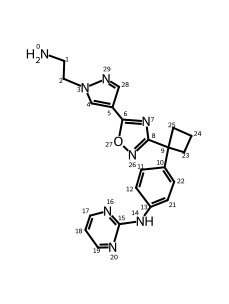 NCCn1cc(-c2nc(C3(c4ccc(Nc5ncccn5)cc4)CCC3)no2)cn1